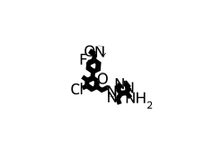 COc1c(CCn2nc(C)c3c(N)ncnc32)cc(Cl)c(C)c1-c1ccc(C(=O)N(C)C)c(F)c1